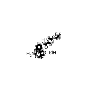 Cl.NC1=NC2(c3cc(NC(=O)c4cnc(OCC(F)(F)F)cn4)ccc3F)COCC2(F)CO1